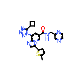 Cc1ccc(-c2cnc3c(-n4nnnc4C4CCC4)cc(C(=O)NCc4cnccn4)cn23)s1